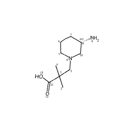 CC(C)(CN1CCC[C@H](N)C1)C(=O)O